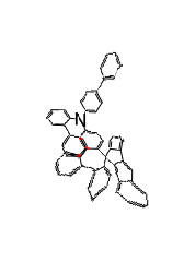 c1ccc(-c2ccc(N(c3ccc4c(c3)-c3ccccc3-c3ccccc3C43c4ccccc4-c4cc5ccccc5cc43)c3ccccc3-c3ccccc3)cc2)cc1